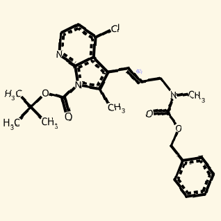 Cc1c(/C=C/CN(C)C(=O)OCc2ccccc2)c2c(Cl)ccnc2n1C(=O)OC(C)(C)C